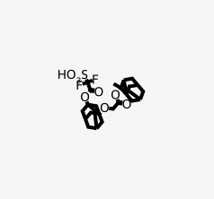 CC1(OC(=O)COC23CC4CC(C2)CC(OC(=O)C(F)(F)S(=O)(=O)O)(C4)C3)C2CC3CC(C2)CC1C3